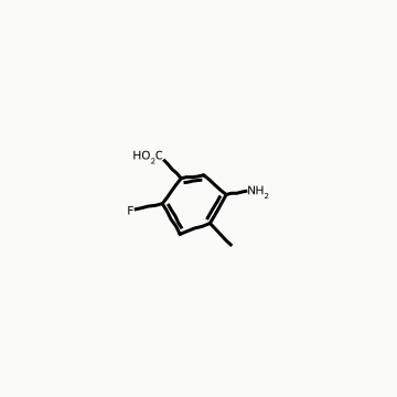 Cc1cc(F)c(C(=O)O)cc1N